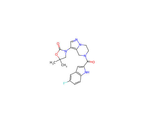 CC1(C)CN(c2cnn3c2CN(C(=O)c2cc4cc(F)ccc4[nH]2)CC3)C(=O)O1